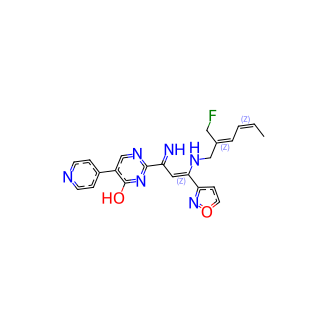 C/C=C\C=C(/CF)CN/C(=C\C(=N)c1ncc(-c2ccncc2)c(O)n1)c1ccon1